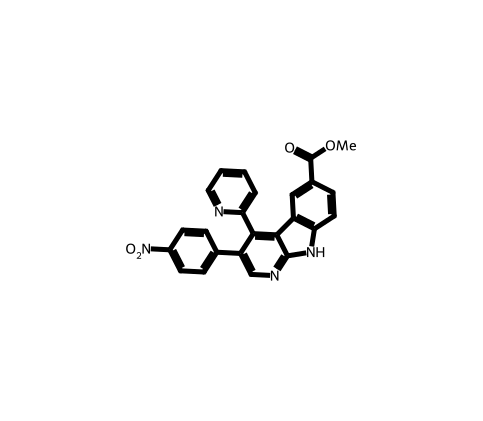 COC(=O)c1ccc2[nH]c3ncc(-c4ccc([N+](=O)[O-])cc4)c(-c4ccccn4)c3c2c1